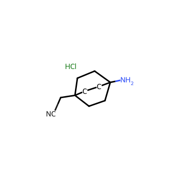 Cl.N#CCC12CCC(N)(CC1)CC2